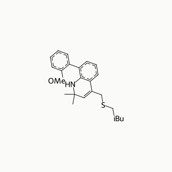 CCC(C)CSCC1=CC(C)(C)Nc2c1cccc2-c1ccccc1OC